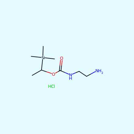 CC(OC(=O)NCCN)[Si](C)(C)C.Cl